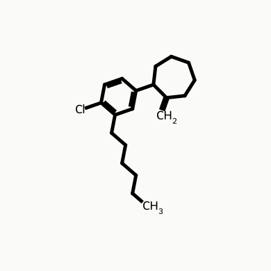 C=C1CCCCCC1c1ccc(Cl)c(CCCCCC)c1